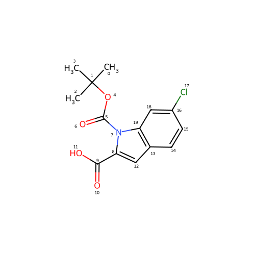 CC(C)(C)OC(=O)n1c(C(=O)O)cc2ccc(Cl)cc21